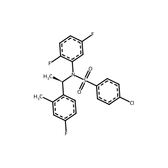 Cc1cc(F)ccc1[C@@H](C)N(c1cc(F)ccc1F)S(=O)(=O)c1ccc(Cl)cc1